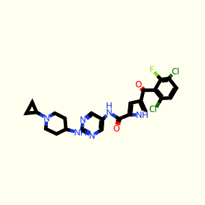 O=C(Nc1cnc(NC2CCN(C3CC3)CC2)nc1)c1cc(C(=O)c2c(Cl)ccc(Cl)c2F)c[nH]1